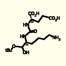 CC(C)(C)OC(O)[C@H](CCCCN)NC(=O)N[C@@H](CCC(=O)O)C(=O)O